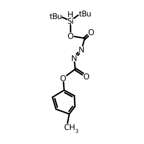 Cc1ccc(OC(=O)N=NC(=O)O[SiH](C(C)(C)C)C(C)(C)C)cc1